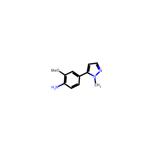 COc1cc(-c2ccnn2C)ccc1N